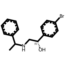 CC(NC[C@@H](O)c1ccc(Br)cc1)c1ccccc1